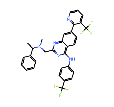 CC(c1ccccc1)N(C)Cc1nc(Nc2ccc(C(F)(F)F)cc2)c2ccc(-c3ncccc3C(F)(F)F)cc2n1